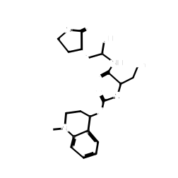 CC(C)CC(NC(=O)OC1CCN(C(=O)O)c2ccccc21)C(=O)NC(C=O)C[C@@H]1CCNC1=O